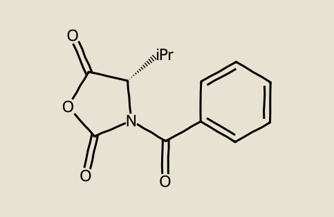 CC(C)[C@H]1C(=O)OC(=O)N1C(=O)c1ccccc1